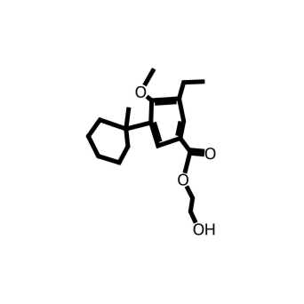 CCc1cc(C(=O)OCCO)cc(C2(C)CCCCC2)c1OC